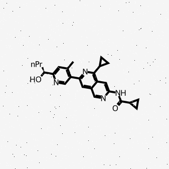 CCC[C@H](O)c1cc(C)c(-c2cc3cnc(NC(=O)C4CC4)cc3c(C3CC3)n2)cn1